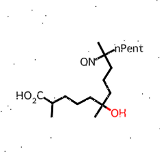 CCCCCC(C)(CCCC(C)(O)CCCC(C)C(=O)O)N=O